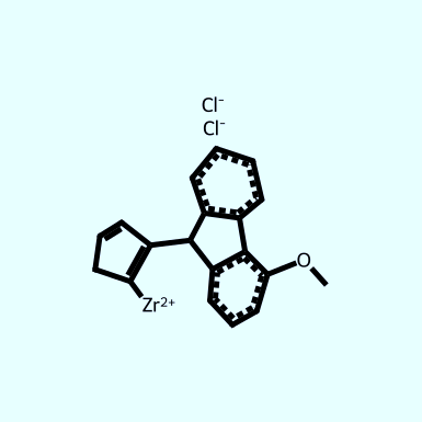 COc1cccc2c1-c1ccccc1C2C1=[C]([Zr+2])CC=C1.[Cl-].[Cl-]